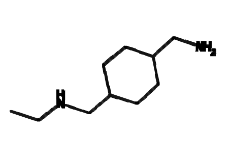 CCNCC1CCC(CN)CC1